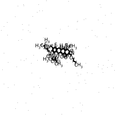 CCCCOc1noc2c1C(=O)[C@@]1(O)C(O)=C3C(=O)c4c(c(F)c5c(c4OCCCC)N(C(=O)OC(C)(C)C)C[C@@H](CC(C)C)NC5)C[C@H]3C[C@H]1[C@@H]2N(C)C